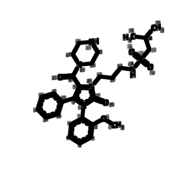 COc1ccccc1-n1c(-c2ccccc2)c(C(=O)N2CCNCC2)n(CCCNS(=O)(=O)CC(C)C)c1=O